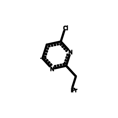 CC(C)Cc1n[c]cc(Cl)n1